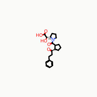 O=C(O)C(O)[C@@H]1CCCN1C(=O)C1CCC[C@H]1C(=O)CCc1ccccc1